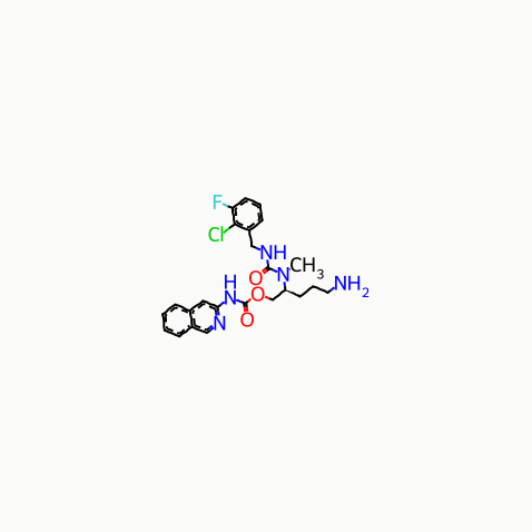 CN(C(=O)NCc1cccc(F)c1Cl)[C@@H](CCCN)COC(=O)Nc1cc2ccccc2cn1